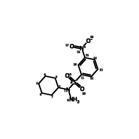 NN(C1CCCCC1)S(=O)(=O)c1cccc([N+](=O)[O-])c1